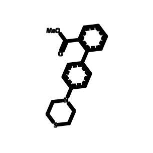 COC(=O)c1ccccc1-c1ccc(N2CCSCC2)cc1